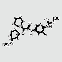 Cc1cc(NC(=O)C(=O)N2CCCC[C@H]2C2CCC(N=[N+]=[N-])CC2)cnc1NC(=O)OC(C)(C)C